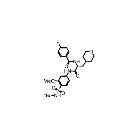 COc1cc(NC(=O)[C@H](CC2CCOCC2)NC(=O)c2ccc(F)cc2)ccc1S(=O)(=O)NC(C)(C)C